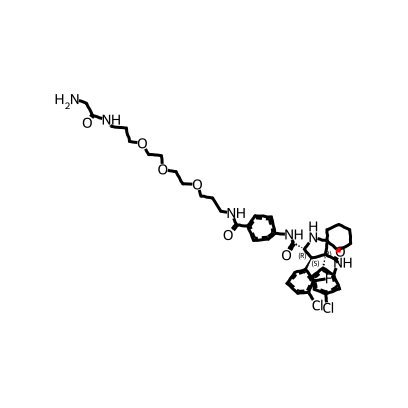 NCC(=O)NCCCOCCOCCOCCCNC(=O)c1ccc(NC(=O)[C@@H]2NC3(CCCCC3)[C@@]3(C(=O)Nc4cc(Cl)ccc43)[C@H]2c2cccc(Cl)c2F)cc1